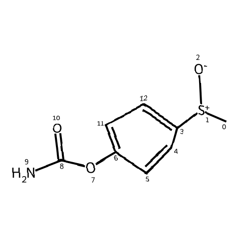 C[S+]([O-])c1ccc(OC(N)=O)cc1